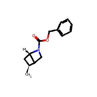 C[C@H]1C[C@H]2C1CN2C(=O)OCc1ccccc1